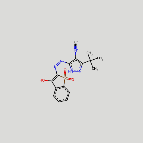 [C-]#[N+]c1c(C(C)(C)C)n[nH]c1/N=N\C1=C(O)c2ccccc2S1(=O)=O